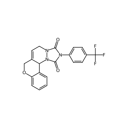 O=c1n(-c2ccc(C(F)(F)F)cc2)c(=O)n2n1CC=C1COc3ccccc3C12